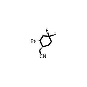 CC[C@@H]1CC(F)(F)CC[C@H]1CC#N